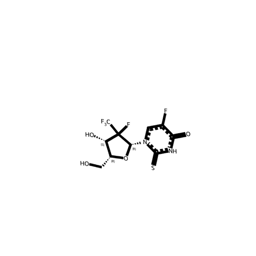 O=c1[nH]c(=S)n([C@@H]2O[C@H](CO)[C@H](O)C2(F)C(F)(F)F)cc1F